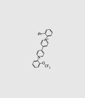 CC(C)c1ccccc1-[n+]1ccc(-c2cc[n+](-c3ccccc3OC(F)(F)F)cc2)cc1